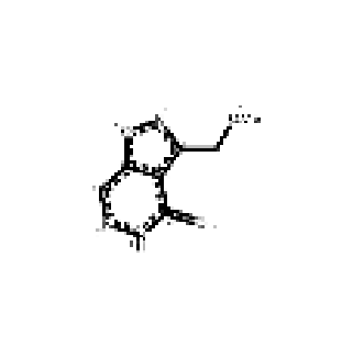 COCc1noc2cn[nH]c(=O)c12